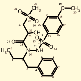 CCC(Cc1ccccc1)N(NS(=O)(=O)c1ccc(OC)cc1)C(=O)C(C)CS(C)(=O)=O